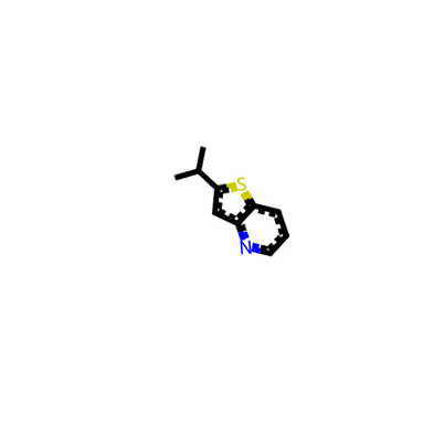 CC(C)c1cc2ncccc2s1